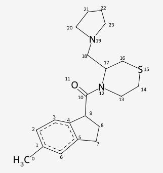 Cc1ccc2c(c1)CCC2C(=O)N1CCSCC1CN1CCCC1